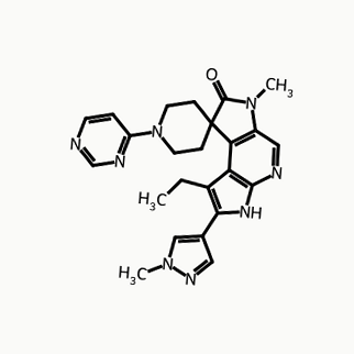 CCc1c(-c2cnn(C)c2)[nH]c2ncc3c(c12)C1(CCN(c2ccncn2)CC1)C(=O)N3C